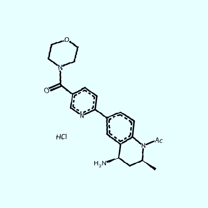 CC(=O)N1c2ccc(-c3ccc(C(=O)N4CCOCC4)cn3)cc2[C@H](N)C[C@@H]1C.Cl